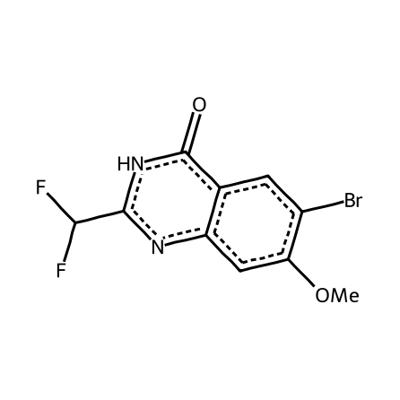 COc1cc2nc(C(F)F)[nH]c(=O)c2cc1Br